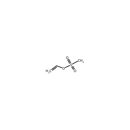 C=COS(C)(=O)=O